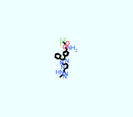 Cc1nnc(-c2ccc3nc(-c4ccc(C(N)OC(=O)C(F)(F)F)cc4)c(-c4ccccc4)nc3n2)[nH]1